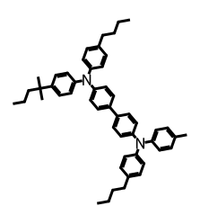 CCCCc1ccc(N(c2ccc(C)cc2)c2ccc(-c3ccc(N(c4ccc(CCCC)cc4)c4ccc(C(C)(C)CCC)cc4)cc3)cc2)cc1